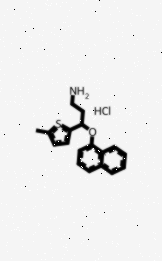 Cc1ccc(C(CCN)Oc2cccc3ccccc23)s1.Cl